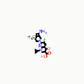 CC12CCN(c3nc4c(cc3F)c(=O)c(C(=O)O)cn4C3CC3)CC1C(N)C2